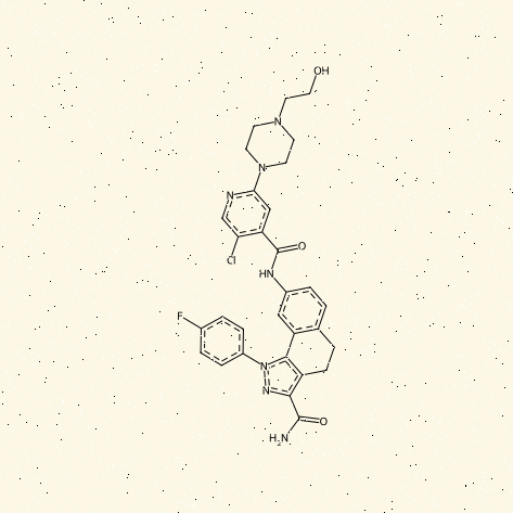 NC(=O)c1nn(-c2ccc(F)cc2)c2c1CCc1ccc(NC(=O)c3cc(N4CCN(CCO)CC4)ncc3Cl)cc1-2